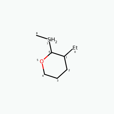 CCC1CCCO[C]1[SiH2]C